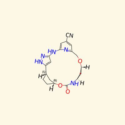 N#Cc1cc2nc(c1)Nc1cc([nH]n1)[C@H]1CC[C@H](C1)OC(=O)N[C@H]1C[C@@H](C1)OC2